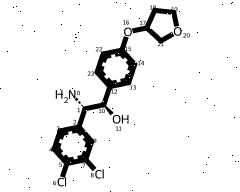 N[C@@H](c1ccc(Cl)c(Cl)c1)[C@H](O)c1ccc(OC2CCOC2)cc1